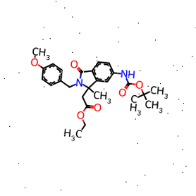 CCOC(=O)CC1(C)c2cc(NC(=O)OC(C)(C)C)ccc2C(=O)N1Cc1ccc(OC)cc1